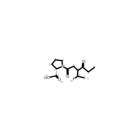 CCC(=O)C(CC(=O)N1CCC[C@H]1C(=O)O)C(F)F